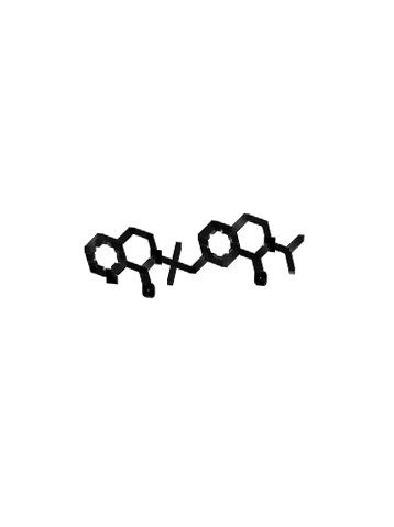 CC(C)N1CCc2ccc(CC(C)(C)N3CCc4cccnc4C3=O)cc2C1=O